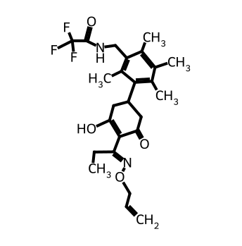 C=CCON=C(CC)C1=C(O)CC(c2c(C)c(C)c(C)c(CNC(=O)C(F)(F)F)c2C)CC1=O